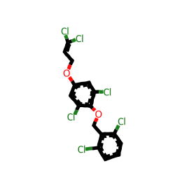 ClC(Cl)=CCOc1cc(Cl)c(OCc2c(Cl)cccc2Cl)c(Cl)c1